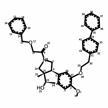 COc1ccc([C@@H]2CN(C(=O)COCc3ccccc3)C[C@@]2(C)[C@@H](C)O)cc1OCCc1ccc(-c2ccccc2)cc1